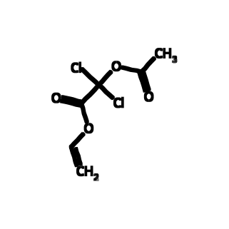 C=COC(=O)C(Cl)(Cl)OC(C)=O